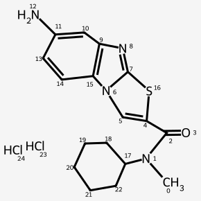 CN(C(=O)c1cn2c(nc3cc(N)ccc32)s1)C1CCCCC1.Cl.Cl